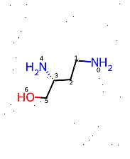 NCC[C@@H](N)CO